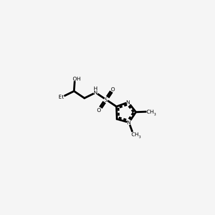 CCC(O)CNS(=O)(=O)c1cn(C)c(C)n1